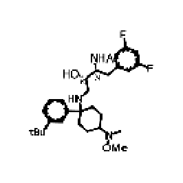 CON(C)C1CCC(NC[C@H](O)[C@H](Cc2cc(F)cc(F)c2)NC(C)=O)(c2cccc(C(C)(C)C)c2)CC1